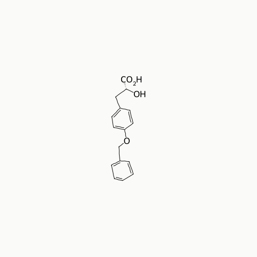 O=C(O)[C@H](O)Cc1ccc(OCc2ccccc2)cc1